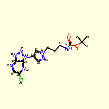 CC(C)(C)OC(=O)NCCCn1cc(-n2nnc3ncc(Cl)nc32)cn1